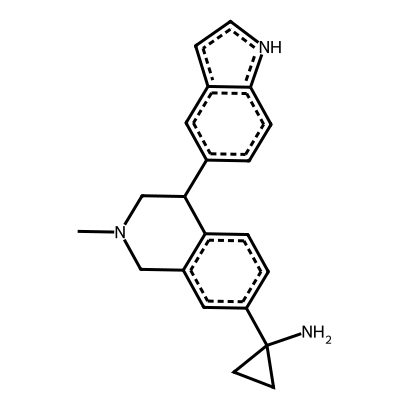 CN1Cc2cc(C3(N)CC3)ccc2C(c2ccc3[nH]ccc3c2)C1